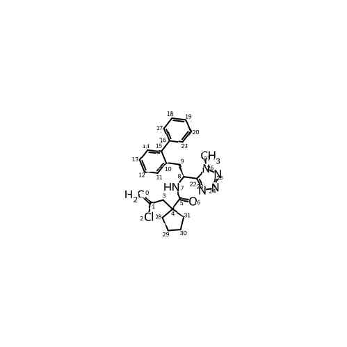 C=C(Cl)CC1(C(=O)N[C@@H](Cc2ccccc2-c2ccccc2)c2nnnn2C)CCCC1